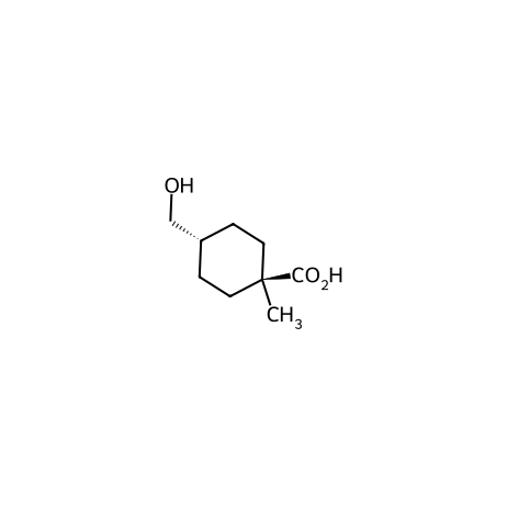 C[C@]1(C(=O)O)CC[C@H](CO)CC1